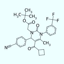 CC1=C(C(=O)C2CCC2)C(c2ccc(C#N)cc2)N(CC(=O)OC(C)(C)C)C(=O)N1c1cccc(C(F)(F)F)c1